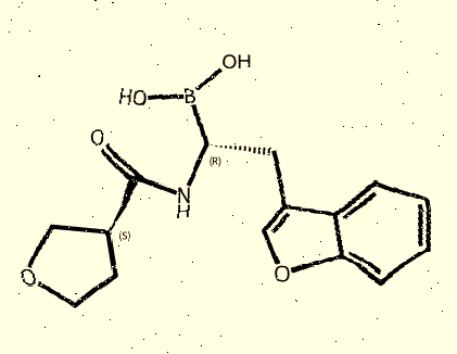 O=C(N[C@@H](Cc1coc2ccccc12)B(O)O)[C@H]1CCOC1